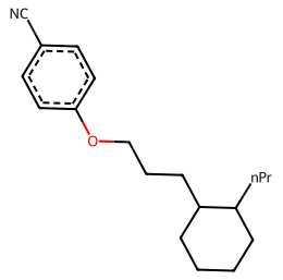 CCCC1CCCCC1CCCOc1ccc(C#N)cc1